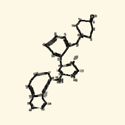 O=C1CCN(Cc2ccccc2-c2cc(Nc3cccc4cnccc34)ncn2)CC1